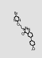 COc1ccc(-c2ccc3nnn(CCOc4ncc(Br)cn4)c(=O)c3c2)cc1